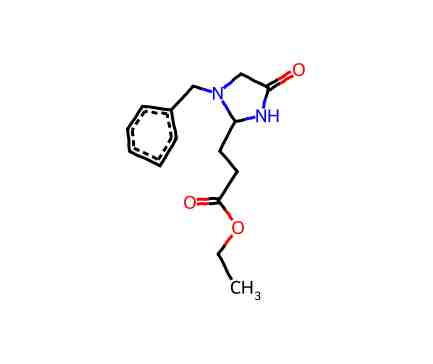 CCOC(=O)CCC1NC(=O)CN1Cc1ccccc1